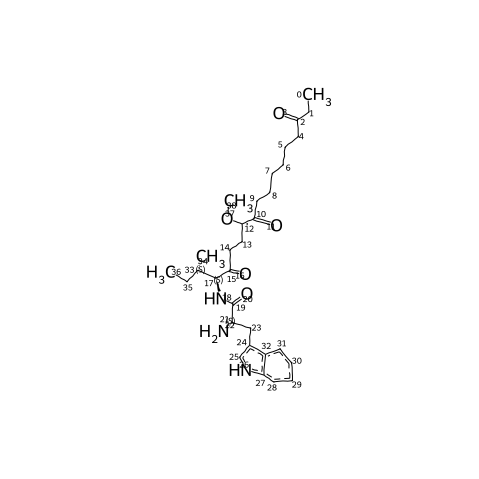 CCC(=O)CCCCCCC(=O)[C](CCC(=O)[C@@H](NC(=O)[C@@H](N)Cc1c[nH]c2ccccc12)[C@@H](C)CC)OC